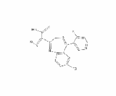 O=C(O)C(=NO)C1=Nc2ccc(Cl)cc2C(c2ccccc2F)=NC1